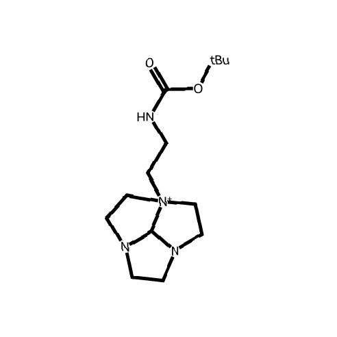 CC(C)(C)OC(=O)NCC[N+]12CCN3CCN(CC1)C32